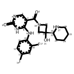 O=C(c1cnc(=O)[nH]c1Nc1ccc(I)cc1F)N1CC(O)([C@@H]2CCCCN2)C1